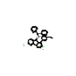 CCC1=CCC(c2cccc3c2[CH]([Zr+2]=[C](c2ccccc2)c2ccccc2)c2ccccc2-3)=C1.[Cl-].[Cl-]